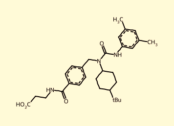 Cc1cc(C)cc(NC(=O)N(Cc2ccc(C(=O)NCCC(=O)O)cc2)C2CCC(C(C)(C)C)CC2)c1